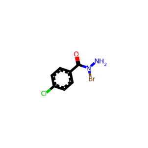 NN(Br)C(=O)c1ccc(Cl)cc1